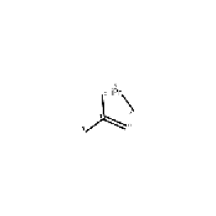 C=C(C)C.CC(C)C